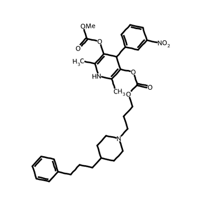 COC(=O)OC1=C(C)NC(C)=C(OC(=O)OCCCN2CCC(CCCc3ccccc3)CC2)C1c1cccc([N+](=O)[O-])c1